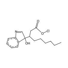 CCCCCCC(CC(=O)OCl)C1(O)C=Nc2ccccc21